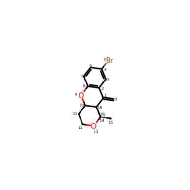 C=C1c2cc(Br)ccc2OC2CCO[C@H](C)C12